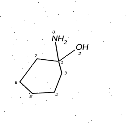 NC1(O)CC[CH]CC1